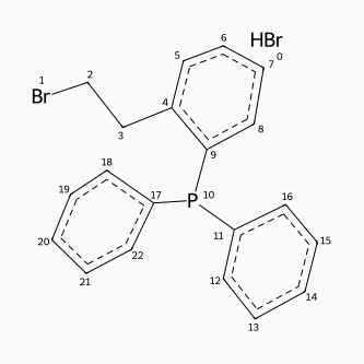 Br.BrCCc1ccccc1P(c1ccccc1)c1ccccc1